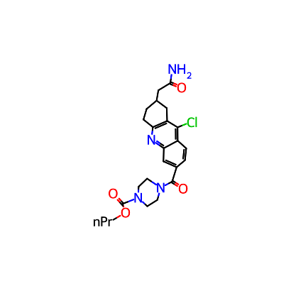 CCCOC(=O)N1CCN(C(=O)c2ccc3c(Cl)c4c(nc3c2)CCC(CC(N)=O)C4)CC1